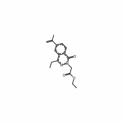 C=C(C)c1ccc2c(=O)n(CC(=O)OCC)nc(CC)c2c1